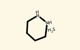 C1CCNNC1.S